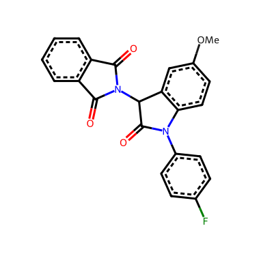 COc1ccc2c(c1)C(N1C(=O)c3ccccc3C1=O)C(=O)N2c1ccc(F)cc1